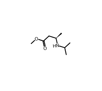 COC(=O)C[C@@H](C)NC(C)C